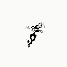 CCC1(C)OC(c2ccc(C[SH](=O)=O)cc2)=C(Br)C1=O